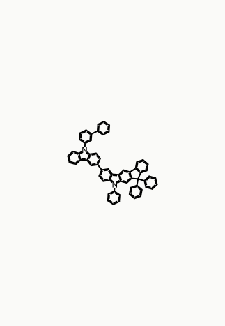 c1ccc(-c2cccc(-n3c4ccccc4c4cc(-c5ccc6c(c5)c5cc7c(cc5n6-c5ccccc5)C(c5ccccc5)(c5ccccc5)c5ccccc5-7)ccc43)c2)cc1